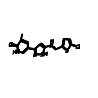 Cc1cc(-c2cc(NCc3ccc(Cl)s3)[nH]n2)c[nH]c1=O